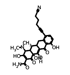 CN(C)C1C(O)=C(C(N)=O)C(=O)C2(O)C(O)=C3C(=O)c4c(O)ccc(C#CCCCC#N)c4CC3CC12